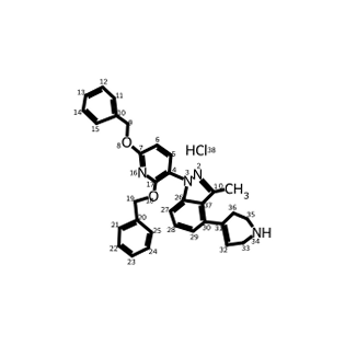 Cc1nn(-c2ccc(OCc3ccccc3)nc2OCc2ccccc2)c2cccc(C3=CCNCC3)c12.Cl